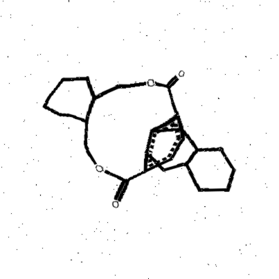 O=C1OCC2CCCCC2COC(=O)c2ccc1c1c2CC2CCCCC2C1